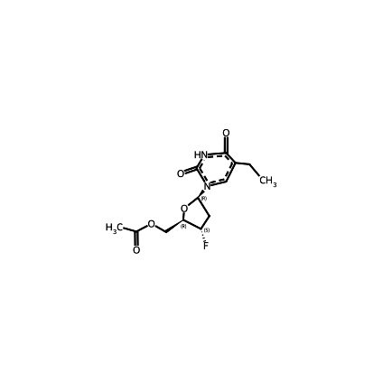 CCc1cn([C@H]2C[C@H](F)[C@@H](COC(C)=O)O2)c(=O)[nH]c1=O